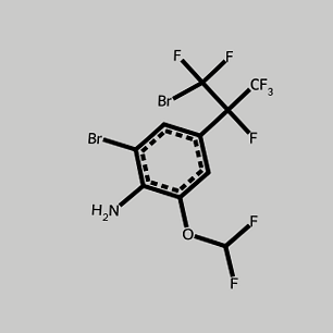 Nc1c(Br)cc(C(F)(C(F)(F)F)C(F)(F)Br)cc1OC(F)F